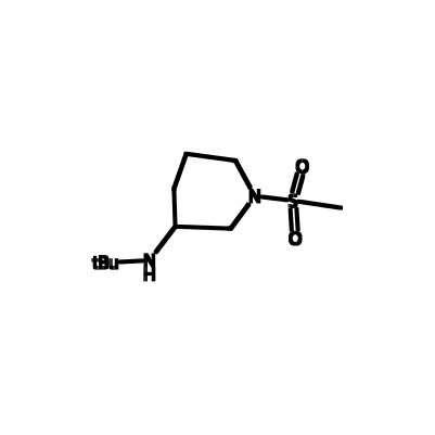 CC(C)(C)NC1CCCN(S(C)(=O)=O)C1